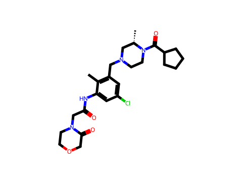 Cc1c(CN2CCN(C(=O)C3CCCC3)[C@@H](C)C2)cc(Cl)cc1NC(=O)CN1CCOCC1=O